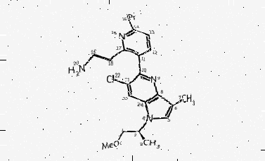 COC[C@H](C)n1cc(C)c2nc(-c3ccc(C(C)C)nc3CCN)c(Cl)cc21